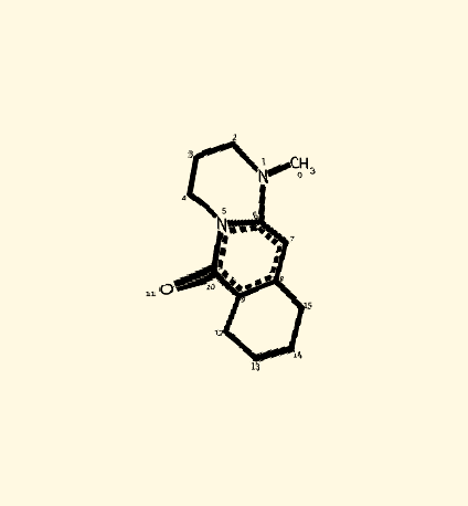 CN1CCCn2c1cc1c(c2=O)CCCC1